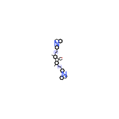 CCC1(CC)c2cc(/C=C/c3ccc(N4CCCc5ccccc54)cc3)c(C)cc2-c2cc(C)c(/C=C/c3ccc(N4CCCc5ccccc54)cc3)cc21